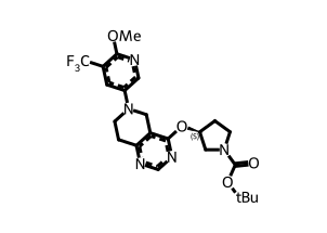 COc1ncc(N2CCc3ncnc(O[C@H]4CCN(C(=O)OC(C)(C)C)C4)c3C2)cc1C(F)(F)F